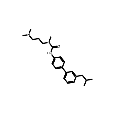 CC(C)Cc1cccc(-c2ccc(NC(=O)N(C)CCCN(C)C)cc2)c1